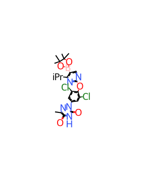 Cc1nn(-c2cc(Cl)c(Oc3ncc(B4OC(C)(C)C(C)(C)O4)c(C(C)C)n3)c(Cl)c2)c(=O)[nH]c1=O